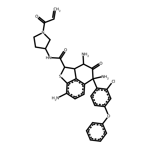 C=CC(=O)N1CCC(NC(=O)C2Sc3c(N)ccc4c3C2C(N)C(=O)C4(N)c2ccc(Oc3ccccc3)cc2Cl)C1